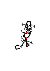 CN(CCN1CCCC1)C1CCN(S(=O)(=O)N2[C@@H]3CC[C@H]2C[C@@H](NC(=O)c2cc(C4CC4)on2)C3)CC1